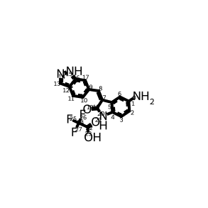 Nc1ccc2c(c1)C(=Cc1ccc3cn[nH]c3c1)C(=O)N2.O=C(O)C(F)(F)F